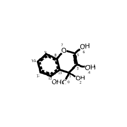 O=CC1(O)C(O)=C(O)Oc2ccccc21